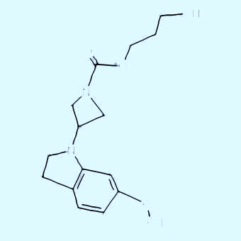 CCCCOC(=O)N1CC(N2CCc3ccc(OC)cc32)C1